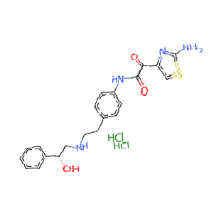 Cl.Cl.Nc1nc(C(=O)C(=O)Nc2ccc(CCNC[C@H](O)c3ccccc3)cc2)cs1